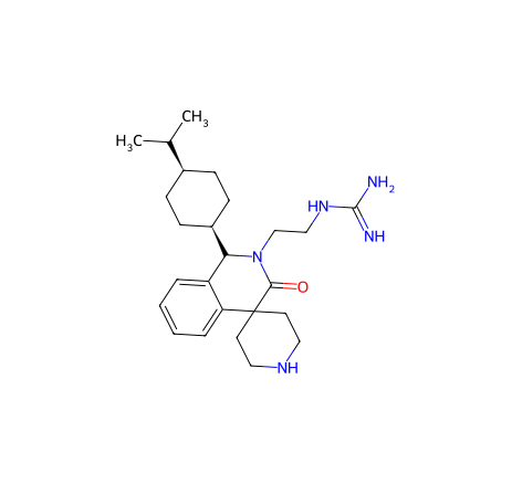 CC(C)[C@H]1CC[C@@H](C2c3ccccc3C3(CCNCC3)C(=O)N2CCNC(=N)N)CC1